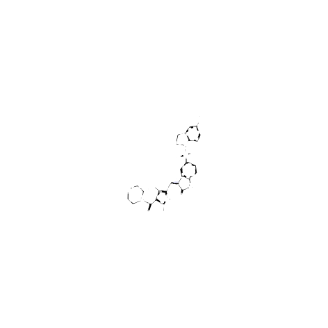 Cc1[nH]c(/C=C2\C(=O)Nc3ccc(S(=O)(=O)N4CCc5cc(F)ccc54)cc32)c(C)c1C(=O)N1CCOCC1